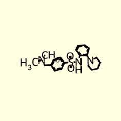 CN(C)Cc1ccc(S(=O)(=O)Nc2ccccc2N2CCCCC2)cc1